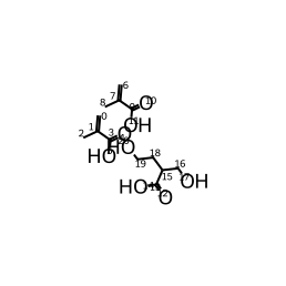 C=C(C)C(=O)O.C=C(C)C(=O)O.O=C(O)C(CO)CCO